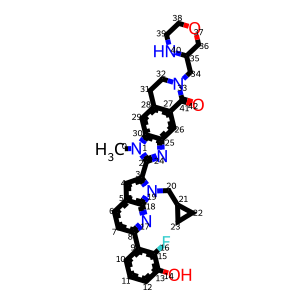 Cn1c(-c2cc3ccc(-c4cccc(O)c4F)nc3n2CC2CC2)nc2cc3c(cc21)CCN(CC1COCCN1)C3=O